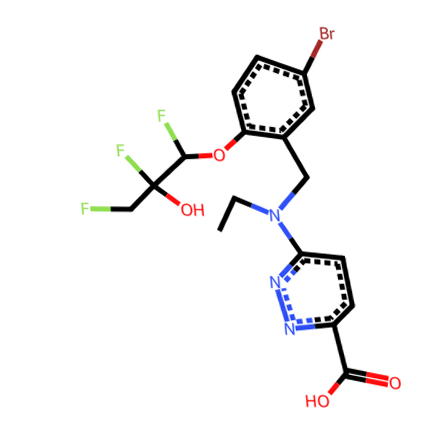 CCN(Cc1cc(Br)ccc1OC(F)C(O)(F)CF)c1ccc(C(=O)O)nn1